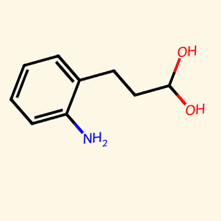 Nc1ccccc1CCC(O)O